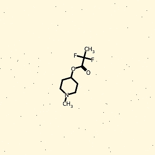 CN1CCC(OC(=O)C(C)(F)F)CC1